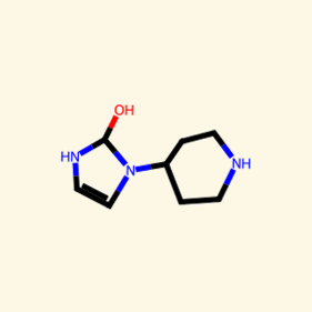 OC1NC=CN1C1CCNCC1